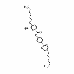 CCCCCCOc1ccc(C(=O)Oc2ccc(-c3ncc(CCCCCC)cn3)cc2)cc1C#N